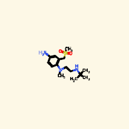 CN(CCNC(C)(C)C)c1ccc(N)cc1CS(C)(=O)=O